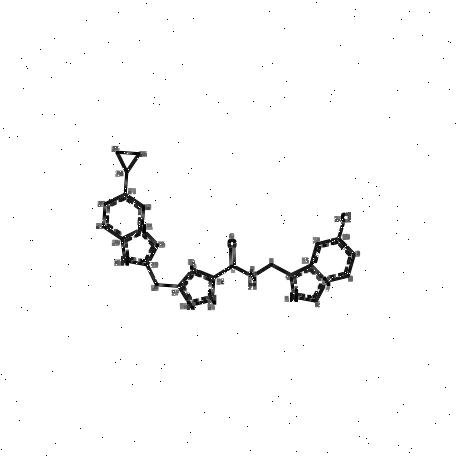 O=C(NCc1ncn2ccc(Cl)cc12)c1nnc(Cc2cn3cc(C4CC4)ccc3n2)s1